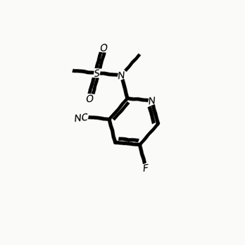 CN(c1ncc(F)cc1C#N)S(C)(=O)=O